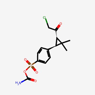 CC1(C)[C@@H](C(=O)CCl)[C@@H]1c1ccc(S(=O)(=O)OC(N)=O)cc1